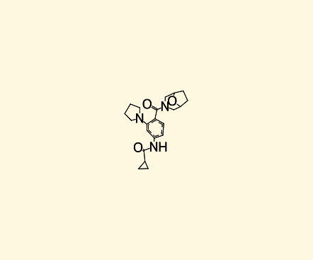 O=C(Nc1ccc(C(=O)N2CC3CCC(C2)O3)c(N2CCCC2)c1)C1CC1